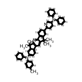 Cc1ccc(N(c2ccccc2)c2ccc3c(c2)C(C)(C)c2nc4c(cc2-3)C(C)(C)c2cc(-c3ccc(N(c5ccccc5)c5ccccc5)cn3)ccc2-4)cc1